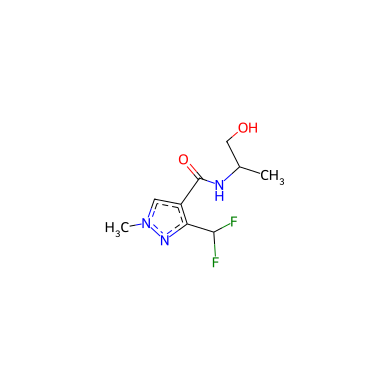 CC(CO)NC(=O)c1cn(C)nc1C(F)F